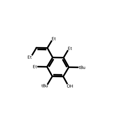 CC/[C]=C(/CC)c1c(CC)c(C(C)(C)C)c(O)c(C(C)(C)C)c1CC